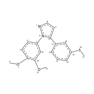 COc1ccc(-n2nccc2-c2cccc(SC)c2)cc1OC